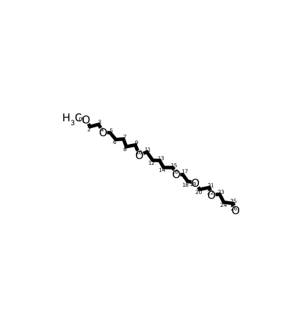 COCCOCCCCCOCCCCCOCCOCCOCCC=O